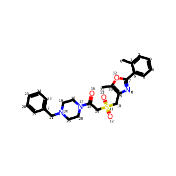 Cc1ccccc1-c1nc(CS(=O)(=O)CC(=O)N2CCN(Cc3ccccc3)CC2)c(C)o1